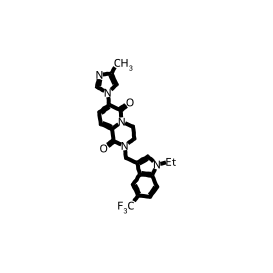 CCn1cc(CN2CCn3c(ccc(-n4cnc(C)c4)c3=O)C2=O)c2cc(C(F)(F)F)ccc21